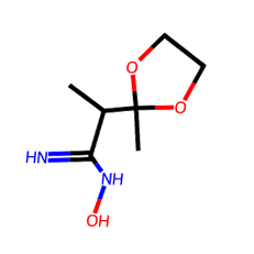 CC(C(=N)NO)C1(C)OCCO1